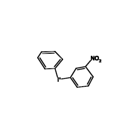 O=[N+]([O-])c1cccc([I+]c2ccccc2)c1